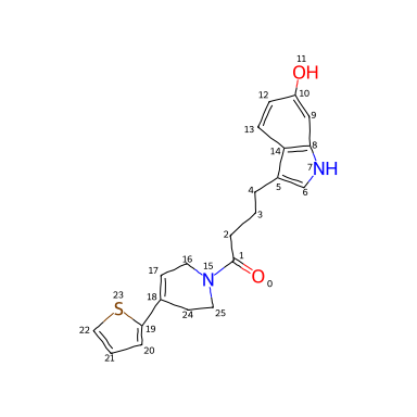 O=C(CCCc1c[nH]c2cc(O)ccc12)N1CC=C(c2cccs2)CC1